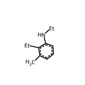 CCNc1cccc(C)c1CC